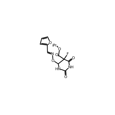 CC(C)OC(=O)C1(F)C(=O)NC(=O)NC1O/N=C/c1ccco1